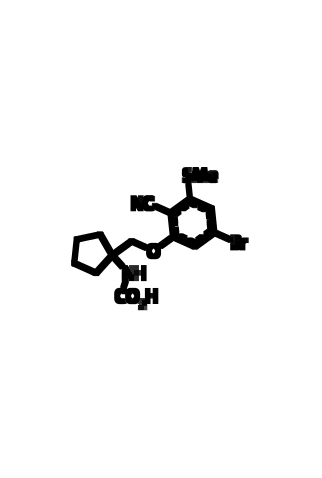 CSc1cc(Br)cc(OCC2(NC(=O)O)CCCC2)c1C#N